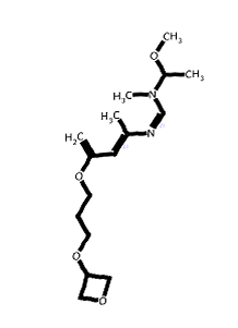 C=C(/C=C(C)/N=C\N(C)C(C)OC)OCCCOC1COC1